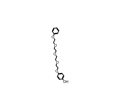 Oc1ccc(OCCOCCOCCOCCOc2ccccc2)cc1